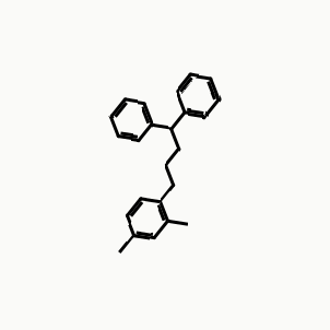 Cc1ccc(CCCC(c2ccccc2)c2ccccc2)c(C)c1